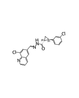 O=C(NN=Cc1cc(Cl)c2ncccc2c1)[C@@H]1C[C@H]1c1cccc(Cl)c1